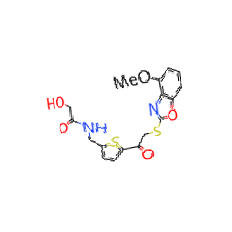 COc1cccc2oc(SCC(=O)c3ccc(CNC(=O)CO)s3)nc12